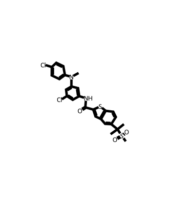 CN(c1ccc(Cl)cc1)c1cc(Cl)cc(NC(=O)c2cc3cc(C(C)(C)S(C)(=O)=O)ccc3s2)c1